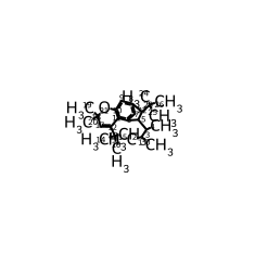 CC(C)C(C)C1c2cc(cc3c2C(C(C)(C)C)=CC(C)(C)O3)C1C(C)(C)C